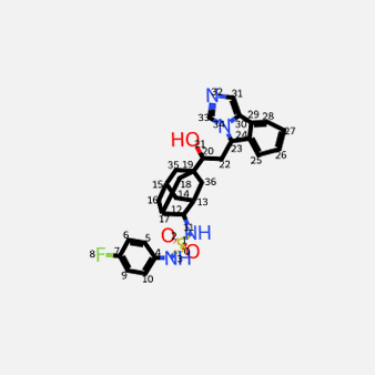 O=S(=O)(Nc1ccc(F)cc1)NC1C2CC3CC1CC(C(O)CC1c4ccccc4-c4cncn41)(C3)C2